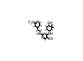 CC1(C)C[C@H](Nc2nc(NCCc3ccnc(C(F)(F)F)c3)ncc2C#N)CC[C@@H]1O